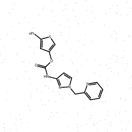 CCCc1cc(OC(=O)Nc2ccn(Cc3ccccn3)n2)cs1